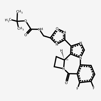 CC(C)(C)OC(=O)NCc1nc(-c2ncn3c2[C@@H]2CCN2C(=O)c2c-3ccc(F)c2F)no1